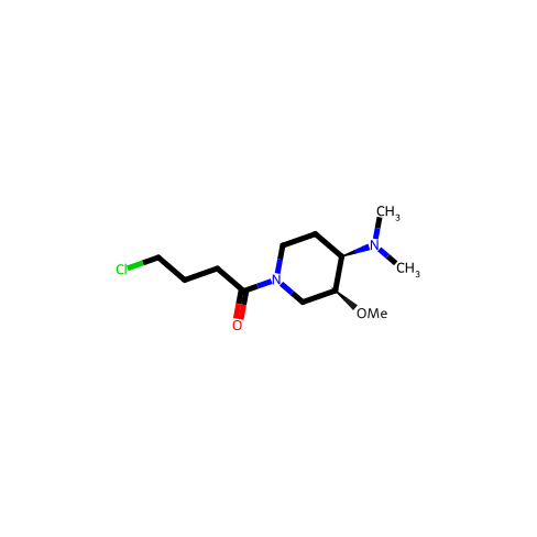 CO[C@H]1CN(C(=O)CCCCl)CC[C@H]1N(C)C